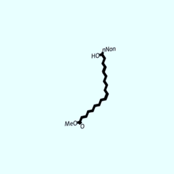 CCCCCCCCCC(O)CC/C=C/CCCC/C=C\CCCCCCCC(=O)OC